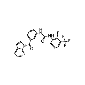 O=C(Nc1cccc(C(=O)n2ccc3cccnc32)c1)Nc1cccc(C(F)(F)F)c1F